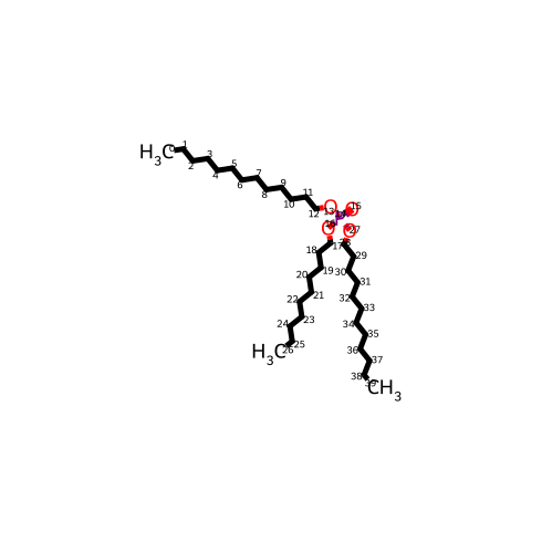 CCCCCCCCCCCCCOP(=O)(OCCCCCCCCCC)OCCCCCCCCCCCC